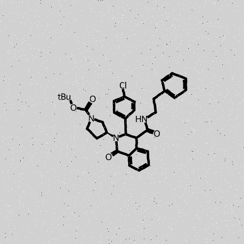 CC(C)(C)OC(=O)N1CC[C@H](N2C(=O)c3ccccc3C(C(=O)NCCc3ccccc3)C2c2ccc(Cl)cc2)C1